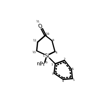 CCC[Si]1(c2ccccc2)CCC(=O)CC1